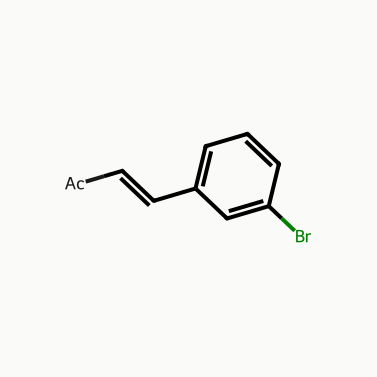 CC(=O)C=Cc1cccc(Br)c1